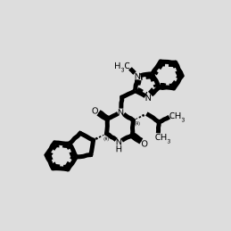 CC(C)C[C@@H]1C(=O)N[C@H](C2Cc3ccccc3C2)C(=O)N1Cc1nc2ccccc2n1C